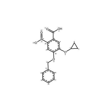 O=C(O)c1cc(OC2CC2)c(OCc2ccccc2)cc1[N+](=O)[O-]